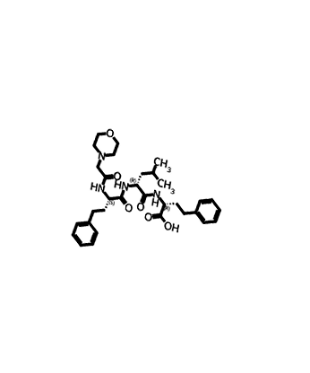 CC(C)C[C@@H](NC(=O)[C@H](CCc1ccccc1)NC(=O)CN1CCOCC1)C(=O)N[C@H](CCc1ccccc1)C(=O)O